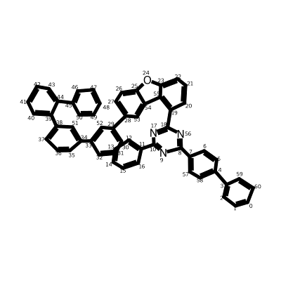 c1ccc(-c2ccc(-c3nc(-c4ccccc4)nc(-c4cccc5oc6ccc(-c7cccc(-c8cccc(-c9ccccc9-c9ccccc9)c8)c7)cc6c45)n3)cc2)cc1